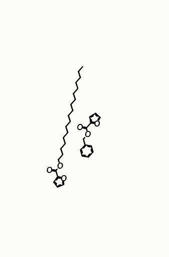 CCCCCCCCCCCCCCCCCCOC(=O)c1ccco1.O=C(OCc1ccccc1)c1ccco1